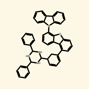 C1=CC(C2NC(c3ccccc3)NC(c3ccccc3)N2)CC(c2cccc3oc4c(-n5c6ccccc6c6ccccc65)cccc4c23)=C1